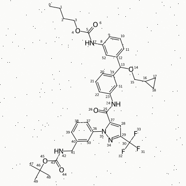 CCCCOC(=O)Nc1cccc(C(OCC2CC2)c2cccc(NC(=O)c3cc(C(F)(F)F)nn3-c3cccc(CNC(=O)OC(C)(C)C)c3)c2)c1